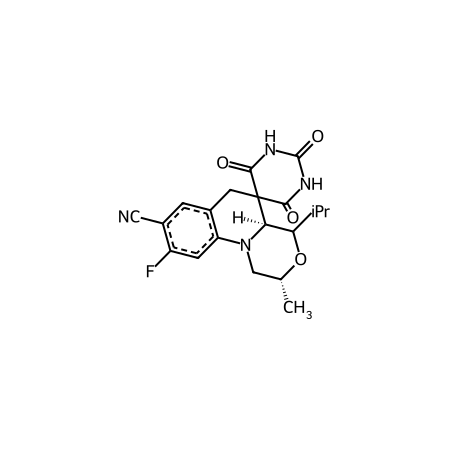 CC(C)C1O[C@H](C)CN2c3cc(F)c(C#N)cc3CC3(C(=O)NC(=O)NC3=O)[C@@H]12